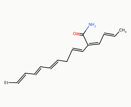 C/C=C/C=C(/C=C/C/C=C/C=C/C=C/CC)C(N)=O